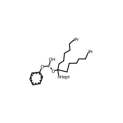 CCCCCCCC(CCCCCC(C)C)(CCCCCC(C)C)OP(O)Oc1ccccc1